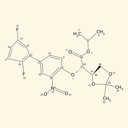 CC(C)OC(=O)[C@@H](Oc1ccc(-c2cc(F)ccc2F)cc1[N+](=O)[O-])[C@H]1COC(C)(C)O1